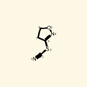 N#CSC1=NOCC1